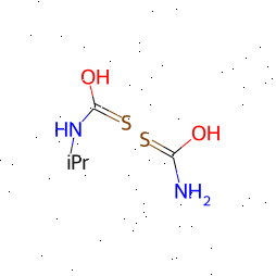 CC(C)NC(O)=S.NC(O)=S